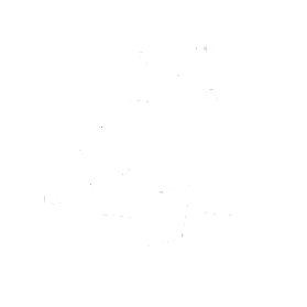 CC1C2CC(CC(OC(C)(C)CCC(O)(C(F)(F)F)C(F)(F)F)(C(F)(F)F)C(F)(F)F)C(C2)C1C